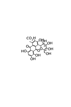 Cc1c(C(=O)O)c(O)c(C2O[C@H](CO)[C@@H](O)[C@H](O)[C@H]2O)c2c1C(=O)c1c(O)cc(O)c(O)c1C2=O